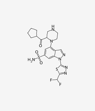 NS(=O)(=O)c1cc(N2CCNCC2C(=O)C2CCCC2)c2cnn(-c3nnc(C(F)F)s3)c2c1